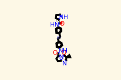 N#CC1(C(=O)N2CCC[C@H]2C(=O)Nc2ccc(/C=C/c3ccc(NC(=O)[C@@H]4CCCN4)cc3)cc2)CC1